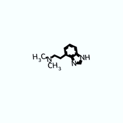 CN(C)CCc1cccc2[nH]cnc12